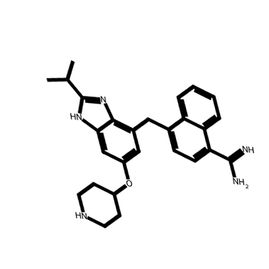 CC(C)c1nc2c(Cc3ccc(C(=N)N)c4ccccc34)cc(OC3CCNCC3)cc2[nH]1